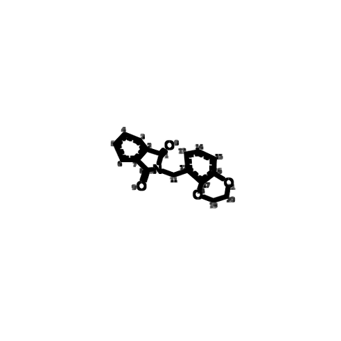 O=C1c2ccccc2C(=O)N1Cc1cccc2c1OCCO2